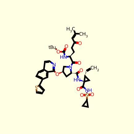 C=C[C@@H]1C[C@]1(NC(=O)[C@@H]1C[C@@H](Oc2nccc3ccc(-c4cccs4)cc23)CN1C(=O)[C@H](CCC(=O)C=C(C)C)NC(=O)OC(C)(C)C)C(=O)NS(=O)(=O)C1CC1